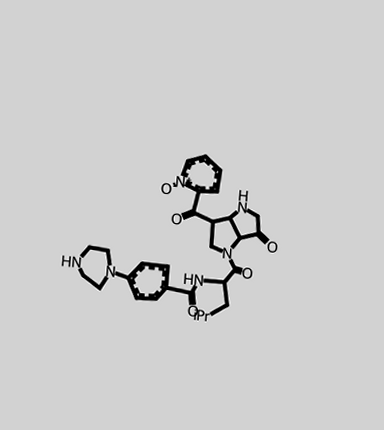 CC(C)CC(NC(=O)c1ccc(N2CCNCC2)cc1)C(=O)N1CC(C(=O)c2cccc[n+]2[O-])C2NCC(=O)C21